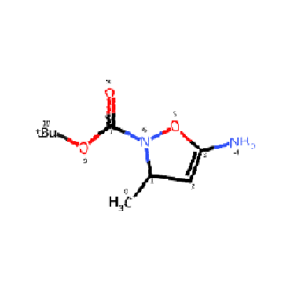 CC1C=C(N)ON1C(=O)OC(C)(C)C